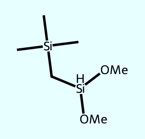 CO[SiH](C[Si](C)(C)C)OC